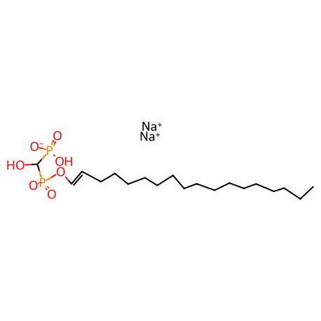 CCCCCCCCCCCCCCCCC=COP(=O)([O-])C(O)P(=O)([O-])O.[Na+].[Na+]